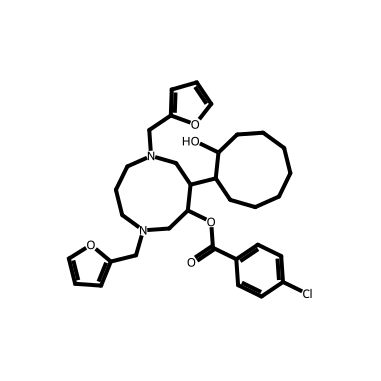 O=C(OC1CN(Cc2ccco2)CCCN(Cc2ccco2)CC1C1CCCCCCCC1O)c1ccc(Cl)cc1